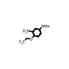 CNc1ccc(OCC(F)(F)F)c([N+](=O)[O-])c1